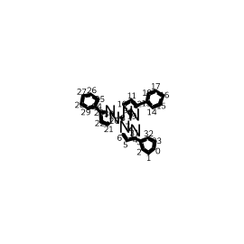 c1ccc(-c2ccn(C(n3ccc(-c4ccccc4)n3)n3ccc(-c4ccccc4)n3)n2)cc1